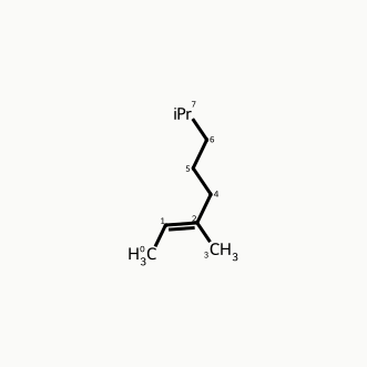 CC=C(C)CCCC(C)C